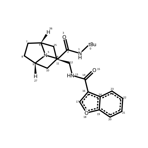 CC(C)(C)NC(=O)CN1[C@@H]2CC[C@H]1C[C@H](CNC(=O)c1coc3ccccc13)C2